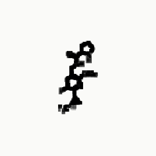 COc1nc(C2C[C@@H]2C(F)(F)F)c(F)cc1CNC(=O)C1CCCN1